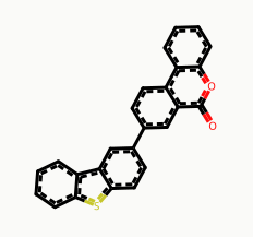 O=c1oc2ccccc2c2ccc(-c3ccc4sc5ccccc5c4c3)cc12